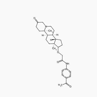 CC(=O)c1ccc(NC(=O)COC2CC[C@H]3[C@@H]4CCN5CC(=O)CC[C@]5(C)[C@@H]4CC[C@]23C)cc1